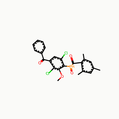 COc1c(Cl)c(C(=O)c2ccccc2)cc(Cl)c1[PH](=O)C(=O)c1c(C)cc(C)cc1C